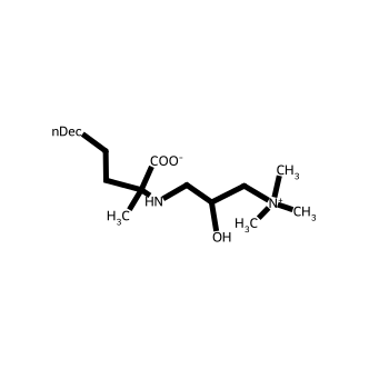 CCCCCCCCCCCCC(C)(NCC(O)C[N+](C)(C)C)C(=O)[O-]